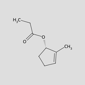 CCC(=O)O[C@H]1CCC=C1C